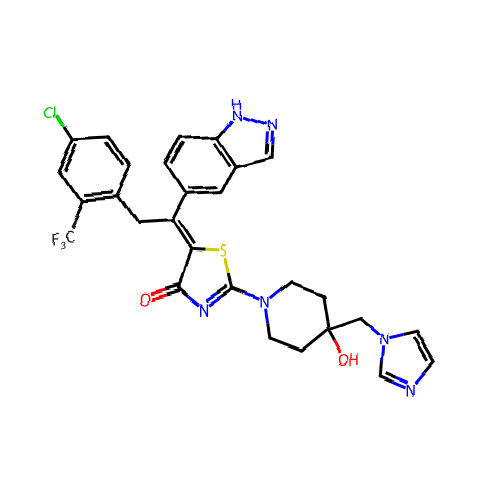 O=C1N=C(N2CCC(O)(Cn3ccnc3)CC2)SC1=C(Cc1ccc(Cl)cc1C(F)(F)F)c1ccc2[nH]ncc2c1